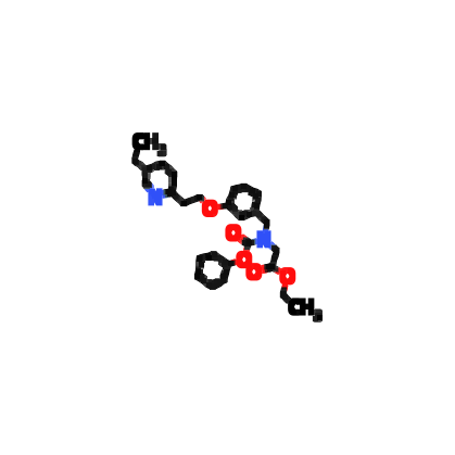 CCOC(=O)CN(Cc1cccc(OCCc2ccc(CC)cn2)c1)C(=O)Oc1ccccc1